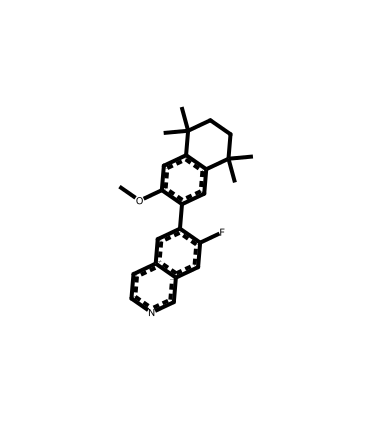 COc1cc2c(cc1-c1cc3ccncc3cc1F)C(C)(C)CCC2(C)C